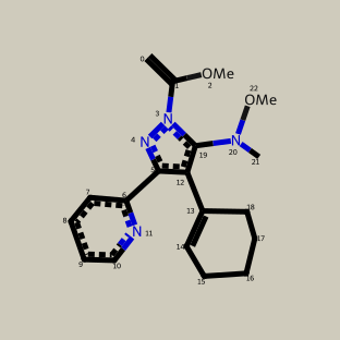 C=C(OC)n1nc(-c2ccccn2)c(C2=CCCCC2)c1N(C)OC